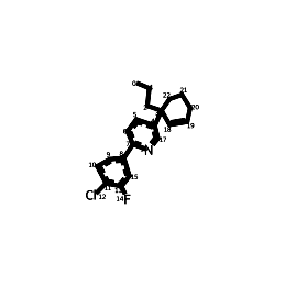 CCCC1(c2ccc(-c3ccc(Cl)c(F)c3)nc2)C=CCCC1